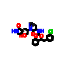 CC(C)CC(NC(=O)OC(Cc1cccc(Cl)c1)c1ccccc1)C(=O)NC(CO)C[C@@H]1CCNC1=O